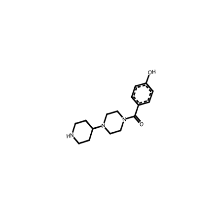 O=C(c1ccc(O)cc1)N1CCN(C2CCNCC2)CC1